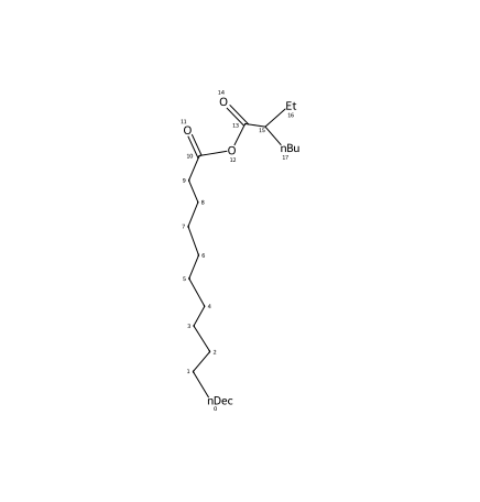 CCCCCCCCCCCCCCCCCCCC(=O)OC(=O)C(CC)CCCC